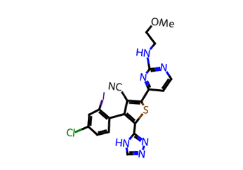 COCCNc1nccc(-c2sc(-c3nnc[nH]3)c(-c3ccc(Cl)cc3I)c2C#N)n1